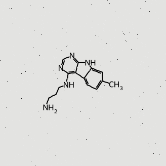 Cc1ccc2c(c1)[nH]c1ncnc(NCCCN)c12